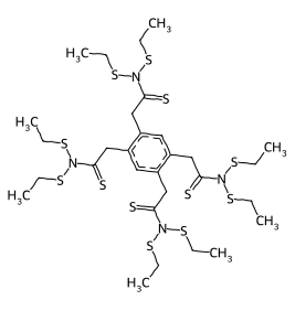 CCSN(SCC)C(=S)Cc1cc(CC(=S)N(SCC)SCC)c(CC(=S)N(SCC)SCC)cc1CC(=S)N(SCC)SCC